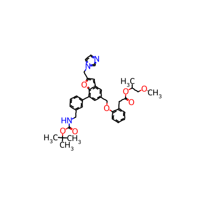 COCC(C)OC(=O)Cc1ccccc1OCc1cc(-c2cccc(CNC(=O)OC(C)(C)C)c2)c2oc(Cn3ccnc3)cc2c1